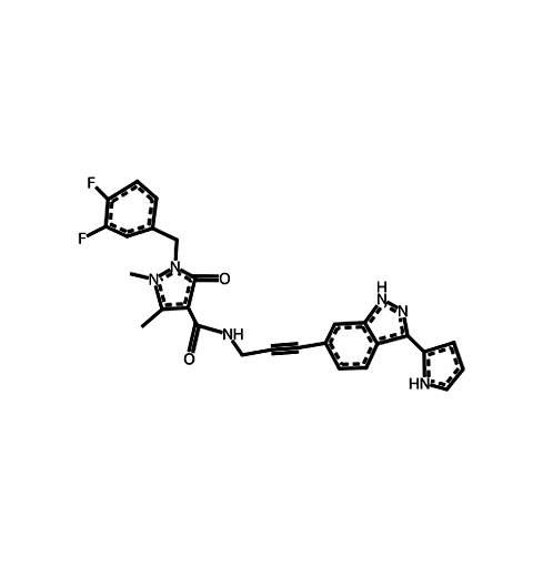 Cc1c(C(=O)NCC#Cc2ccc3c(-c4ccc[nH]4)n[nH]c3c2)c(=O)n(Cc2ccc(F)c(F)c2)n1C